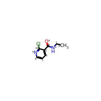 CCNC(=O)c1cccnc1Cl